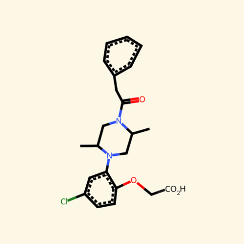 CC1CN(c2cc(Cl)ccc2OCC(=O)O)C(C)CN1C(=O)Cc1ccccc1